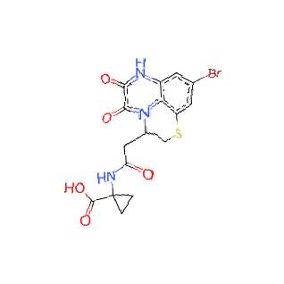 O=C(CC1CSc2cc(Br)cc3[nH]c(=O)c(=O)n1c23)NC1(C(=O)O)CC1